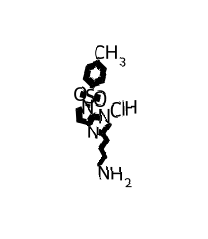 Cc1ccc(S(=O)(=O)n2ccc3nc(C=CCCN)cnc32)cc1.Cl